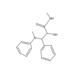 CNC(=O)C(O)C(c1ccccc1)N(C)c1ccccc1